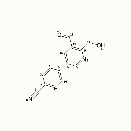 N#Cc1ccc(-c2cnc(CO)c(C=O)c2)cc1